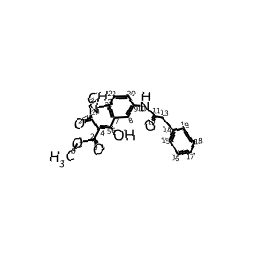 COC(=O)c1c(O)c2cc(NC(=O)Cc3ccccc3)ccc2n(C)c1=O